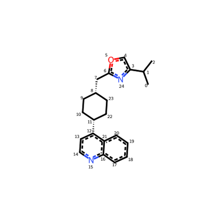 CC(C)c1coc(C[C@H]2CC[C@@H](c3ccnc4ccccc43)CC2)n1